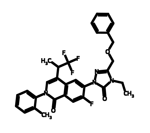 CCn1c(COCc2ccccc2)nn(-c2cc3c(C(C)C(F)(F)F)cn(-c4ccccc4C)c(=O)c3cc2F)c1=O